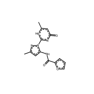 Cc1cc(NC(=O)c2ccco2)n(-c2nc(=O)cc(C)[nH]2)n1